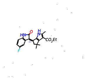 CCOC(=O)c1c(C)[nH]c2c1C(C)(C)C/C2=C1/C(=O)Nc2ccc(F)cc21